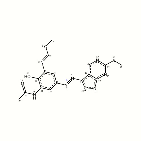 COC=Nc1cc(/N=N/c2snc3nc(SC)ncc23)cc(NC(C)=O)c1O